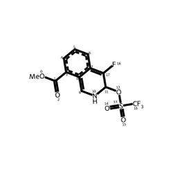 COC(=O)c1cccc2c1=CNC(OS(=O)(=O)C(F)(F)F)C=2F